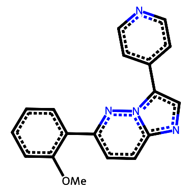 COc1ccccc1-c1ccc2ncc(-c3ccncc3)n2n1